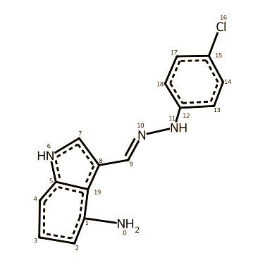 Nc1cccc2[nH]cc(C=NNc3ccc(Cl)cc3)c12